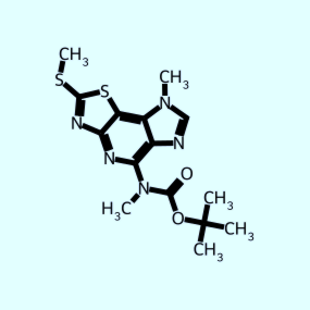 CSc1nc2nc(N(C)C(=O)OC(C)(C)C)c3ncn(C)c3c2s1